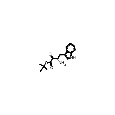 CC(C)(C)OC(=O)C(=O)[C@@H](N)Cc1c[nH]c2ccccc12